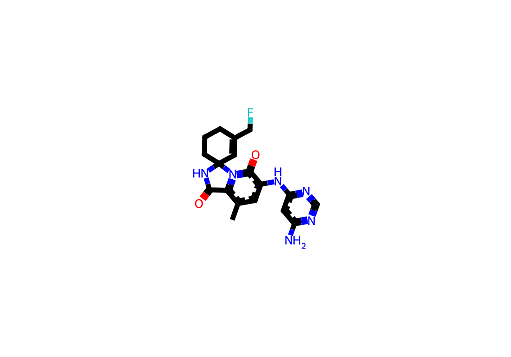 Cc1cc(Nc2cc(N)ncn2)c(=O)n2c1C(=O)NC21C=C(CF)CCC1